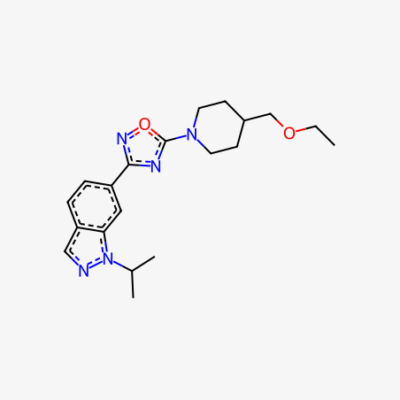 CCOCC1CCN(c2nc(-c3ccc4cnn(C(C)C)c4c3)no2)CC1